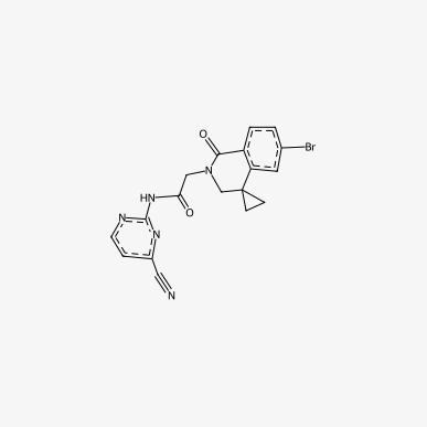 N#Cc1ccnc(NC(=O)CN2CC3(CC3)c3cc(Br)ccc3C2=O)n1